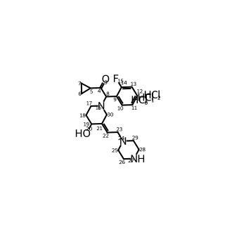 Cl.Cl.Cl.O=C(C1CC1)C(c1ccccc1F)N1CCC(O)C(=CCN2CCNCC2)C1